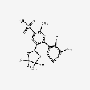 COc1nc(-c2cccc(C)c2F)c(B2OC(C)(C)C(C)(C)O2)cc1S(N)(=O)=O